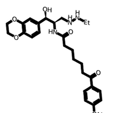 CCNNC[C@@H](NC(=O)CCCCCC(=O)c1ccc(OC)cc1)[C@H](O)c1ccc2c(c1)OCCO2